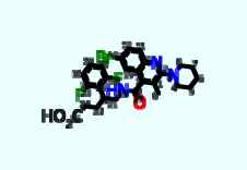 Cc1c(N2CCCCC2)nc2ccc(Br)cc2c1C(=O)NCC(CCC(=O)O)c1c(F)cccc1F